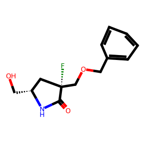 O=C1N[C@H](CO)C[C@@]1(F)COCc1ccccc1